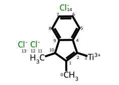 CC1=[C]([Ti+3])c2ccccc2C1C.[Cl-].[Cl-].[Cl-]